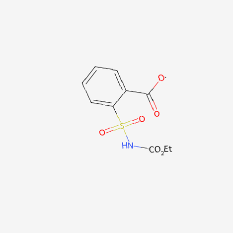 CCOC(=O)NS(=O)(=O)c1ccccc1C([O])=O